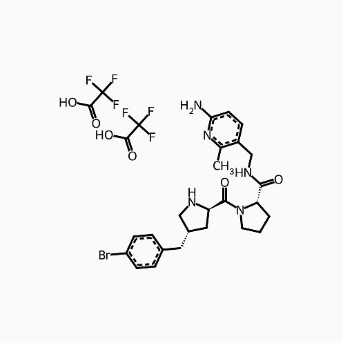 Cc1nc(N)ccc1CNC(=O)[C@@H]1CCCN1C(=O)[C@H]1C[C@H](Cc2ccc(Br)cc2)CN1.O=C(O)C(F)(F)F.O=C(O)C(F)(F)F